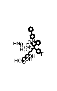 CC(C)n1c(CC[C@@H](O)C[C@@H](O)CC(=O)O)c(-c2ccc(F)cc2)c2c3ccccc3n(-c3ccc(-c4ccccc4)cc3)c(=O)c21.[NaH]